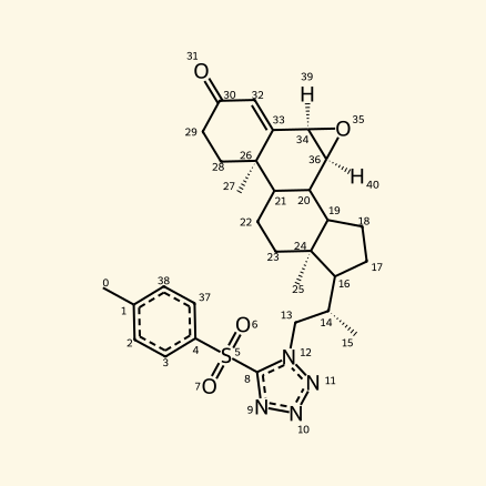 Cc1ccc(S(=O)(=O)c2nnnn2C[C@@H](C)C2CCC3C4C(CC[C@@]32C)[C@@]2(C)CCC(=O)C=C2[C@H]2O[C@@H]42)cc1